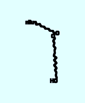 CCCCC=CCCCCCCCC(=O)OCCCCCCCCCCCCCCCCCO